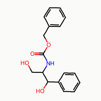 O=C(NC(CO)C(O)c1ccccc1)OCc1ccccc1